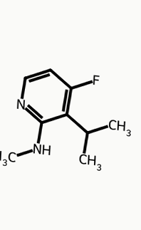 CNc1nccc(F)c1C(C)C